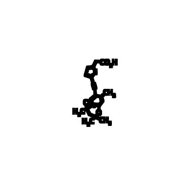 Cc1cc2c(cc1C#Cc1ccc(CC(=O)O)s1)C(C)(C)CC(C)(C)O2